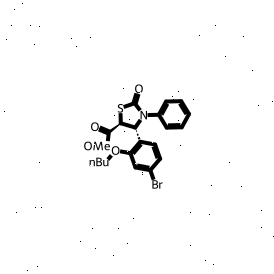 CCCCOc1cc(Br)ccc1[C@@H]1[C@@H](C(=O)OC)SC(=O)N1c1ccccc1